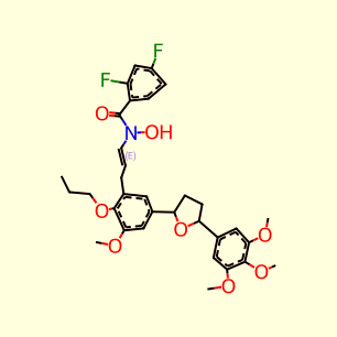 CCCOc1c(C/C=C/N(O)C(=O)c2ccc(F)cc2F)cc(C2CCC(c3cc(OC)c(OC)c(OC)c3)O2)cc1OC